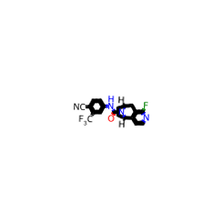 N#Cc1ccc(NC(=O)N2[C@@H]3CC[C@H]2c2ccnc(F)c2C3)cc1C(F)(F)F